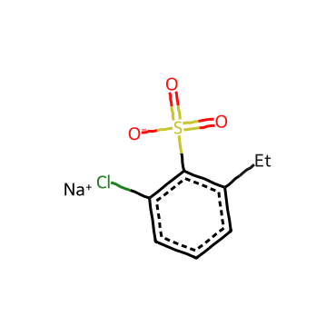 CCc1cccc(Cl)c1S(=O)(=O)[O-].[Na+]